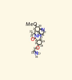 COc1cc(C2(NC(=O)c3cc(OCC(C)N(C)C)ccc3C)CC2)c2cccnc2c1